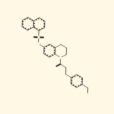 NCc1ccc(CCC(=O)N2CCCc3cc(NS(=O)(=O)c4cccc5ccccc45)ccc32)cc1